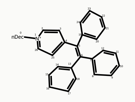 CCCCCCCCCC[n+]1ccc(C(=C(c2ccccc2)c2ccccc2)c2ccccc2)cc1